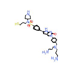 NCCCN(CCCN)Cc1ccc(-n2cc3cc(-c4ccc(S(=O)(=O)N(CCCS)C5CCNCC5)cc4)[nH]c3nc2=O)cc1